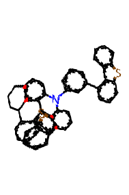 c1cc(-c2cccc3sc4ccccc4c23)cc(N(c2ccccc2-c2cccc3cccc(C4CCCCC4)c23)c2cccc3c2sc2ccccc23)c1